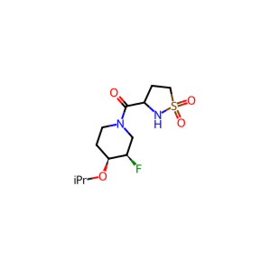 CC(C)O[C@H]1CCN(C(=O)C2CCS(=O)(=O)N2)C[C@H]1F